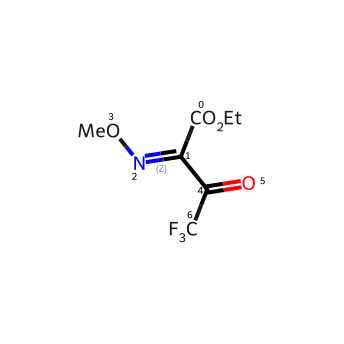 CCOC(=O)/C(=N\OC)C(=O)C(F)(F)F